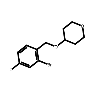 Fc1ccc(COC2CCOCC2)c(Br)c1